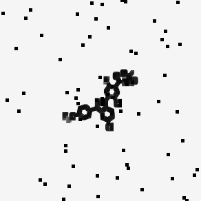 CS(=O)(=O)NC(=O)c1cc(Cl)c(-n2nc(-c3ccc(C(F)(F)F)cc3)c3cc(Cl)ccc32)cc1F